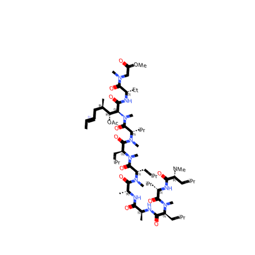 C/C=C/C[C@@H](C)[C@@H](OC(C)=O)[C@@H](C(=O)N[C@@H](CC)C(=O)N(C)CC(=O)OC)N(C)C(=O)[C@H](C(C)C)N(C)C(=O)[C@H](CC(C)C)N(C)C(=O)[C@H](CC(C)C)N(C)C(=O)[C@@H](C)NC(=O)[C@H](C)NC(=O)[C@H](CC(C)C)N(C)C(=O)[C@@H](NC(=O)[C@@H](CC(C)C)NC)C(C)C